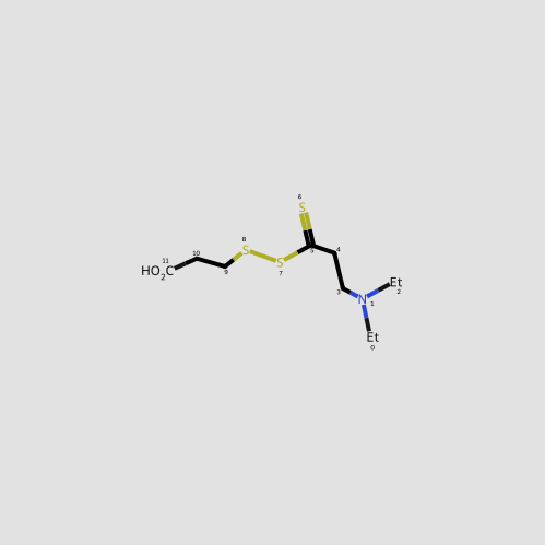 CCN(CC)CCC(=S)SSCCC(=O)O